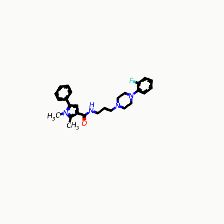 Cc1c(C(=O)NCCCN2CCN(c3ccccc3F)CC2)cc(-c2ccccc2)n1C